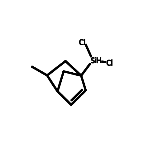 CC1CC2([SiH](Cl)Cl)C=CC1C2